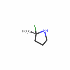 O=C(O)[C@]1(F)CCCN1